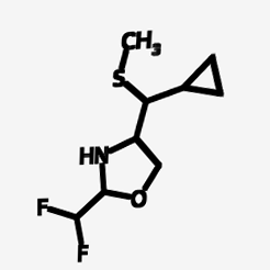 CSC(C1CC1)C1COC(C(F)F)N1